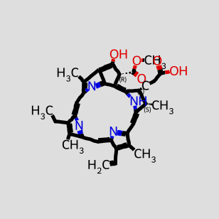 C=CC1=C(C)C2=NC1=CC1=NC(=CC3=C(C)C4=C(O)[C@H](C(=O)OC)C(=C5NC(=C2)[C@@H](C)[C@@H]5CCC(=O)O)C4=N3)C(CC)=C1C